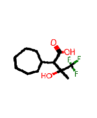 CC(O)(C(C(=O)O)C1CCCCCC1)C(F)(F)F